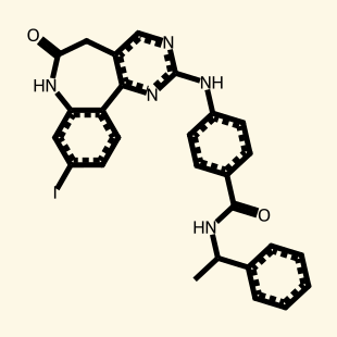 CC(NC(=O)c1ccc(Nc2ncc3c(n2)-c2ccc(I)cc2NC(=O)C3)cc1)c1ccccc1